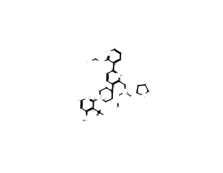 CCOc1ncccc1-c1ccc2c(n1)CN(C[C@H]1CCCN1)C[C@]21CCN(c2nccc(OC)c2C(F)(F)F)C[C@H]1CC